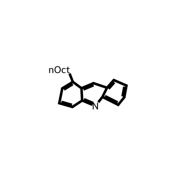 CCCCCCCCc1cccc2nc3ccccc3cc12